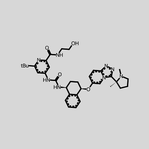 CN1CCC[C@@]1(C)c1nnc2ccc(O[C@@H]3CC[C@H](NC(=O)Nc4cc(C(=O)NCCO)nc(C(C)(C)C)c4)c4ccccc43)cn12